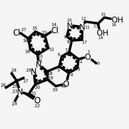 COc1cc2c(cc1-c1cnn(CC(O)CO)c1)-c1c(c(C(=O)N(C)C(C)(C)C)nn1-c1cc(Cl)cc(Cl)c1)CO2